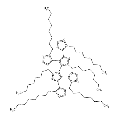 CCCCCCCCc1sccc1-c1sc(CCCCCCCC)c(-c2c(CCCCCCCC)sc(-c3ccsc3CCCCCCCC)c2-c2ccsc2CCCCCCCC)c1-c1ccsc1CCCCCCCC